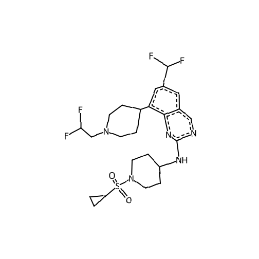 O=S(=O)(C1CC1)N1CCC(Nc2ncc3cc(C(F)F)cc(C4CCN(CC(F)F)CC4)c3n2)CC1